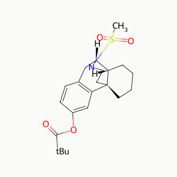 CC(C)(C)C(=O)Oc1ccc2c(c1)[C@@]13CCCC[C@H]1[C@@H](C2)N(S(C)(=O)=O)CC3